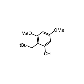 COc1cc(O)c(CC(C)(C)C)c(OC)c1